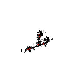 CC1=CC2=Nc3cc(C)c(NCC(=O)NCCCNC(=O)c4cc(C(=O)NCCCNC(=O)CNC5=CC6C(=Nc7cc(C)c(N)cc7[N+]6(Cl)c6ccccc6)C=C5C)cc(C(=O)NCCCNC(=O)CNc5cc6c(cc5C)N=C5C=C(C)C(N)=CC5N6c5ccccc5)c4)cc3N(c3ccccc3)C2C=C1N